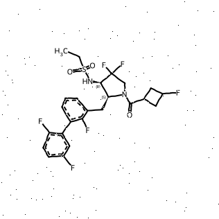 CCS(=O)(=O)N[C@@H]1[C@H](Cc2cccc(-c3cc(F)ccc3F)c2F)N(C(=O)C2CC(F)C2)CC1(F)F